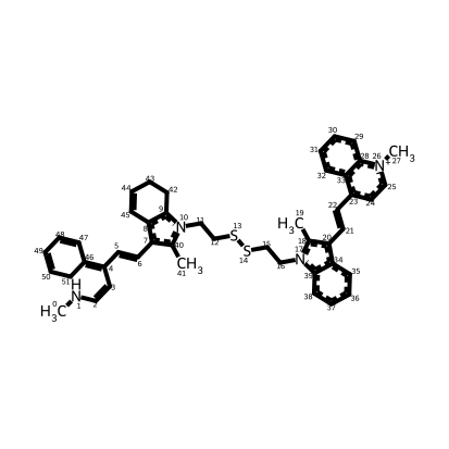 CN\C=C/C(/C=C/c1c2c(n(CCSSCCn3c(C)c(/C=C/c4cc[n+](C)c5ccccc45)c4ccccc43)c1C)CCC=C2)=C1/C=CC=CC1